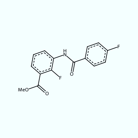 COC(=O)c1cccc(NC(=O)c2ccc(F)cc2)c1F